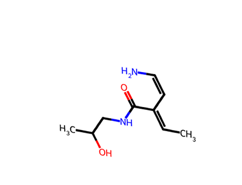 C/C=C(\C=C/N)C(=O)NCC(C)O